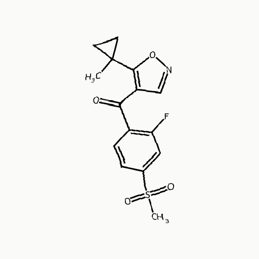 CC1(c2oncc2C(=O)c2ccc(S(C)(=O)=O)cc2F)CC1